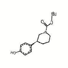 CC(C)(C)OC(=O)N1CCC[C@@H](c2ccc(O)cc2)C1